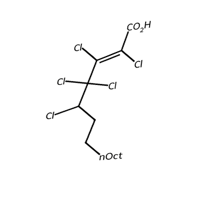 CCCCCCCCCCC(Cl)C(Cl)(Cl)C(Cl)=C(Cl)C(=O)O